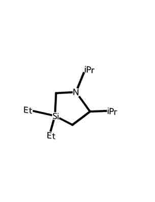 CC[Si]1(CC)CC(C(C)C)N(C(C)C)C1